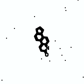 O=C1CC=c2c(ccc3c4c(ccc23)CC=C4)=N1